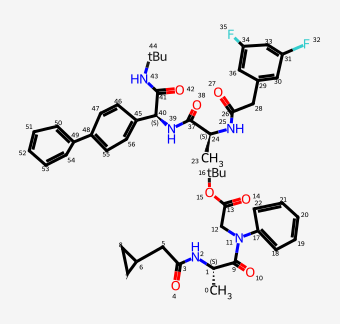 C[C@H](NC(=O)CC1CC1)C(=O)N(CC(=O)OC(C)(C)C)c1ccccc1.C[C@H](NC(=O)Cc1cc(F)cc(F)c1)C(=O)N[C@H](C(=O)NC(C)(C)C)c1ccc(-c2ccccc2)cc1